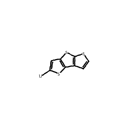 [Li][c]1cc2sc3sccc3c2s1